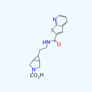 O=C(NCCC1C2CN(C(=O)O)CC12)c1cc2cccnc2s1